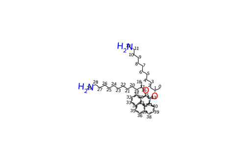 CC(CCCCCCCCCCN)Oc1c(OC(C)CCCCCCCCCCN)c2cccc3ccc4cccc1c4c32